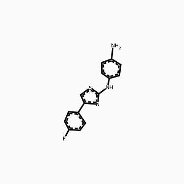 Nc1ccc(Nc2nc(-c3ccc(F)cc3)cs2)cc1